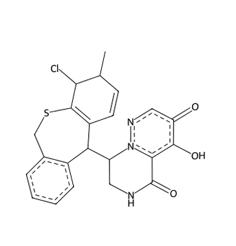 CC1C=CC2=C(SCc3ccccc3C2C2CNC(=O)c3c(O)c(=O)cnn32)C1Cl